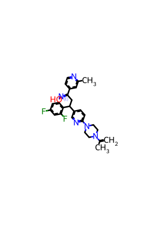 C=C(C)N1CCN(c2ccc(C(C/C(=N\O)c3ccnc(C)c3)c3ccc(F)cc3F)cn2)CC1